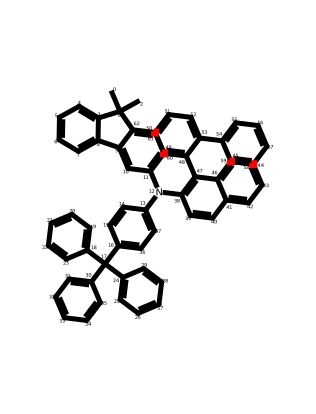 CC1(C)c2ccccc2-c2cc(N(c3ccc(C(c4ccccc4)(c4ccccc4)c4ccccc4)cc3)c3ccc4ccccc4c3-c3ccccc3-c3ccccc3)ccc21